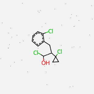 OC(Cl)C(Cc1ccccc1Cl)C1(Cl)CC1